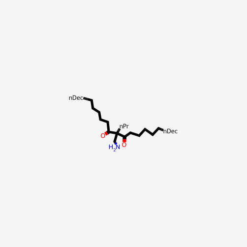 CCCCCCCCCCCCCCCC(=O)C(CN)(CCC)C(=O)CCCCCCCCCCCCCCC